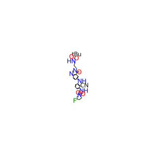 CC(C)(C)OC(=O)NCCCn1cnc2ccc(Nc3cccc(NS(=O)(=O)N4CC[C@@H](F)C4)c3C#N)cc2c1=O